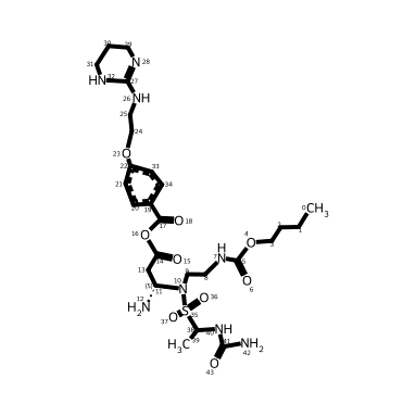 CCCCOC(=O)NCCN([C@H](N)CC(=O)OC(=O)c1ccc(OCCNC2=NCCCN2)cc1)S(=O)(=O)C(C)NC(N)=O